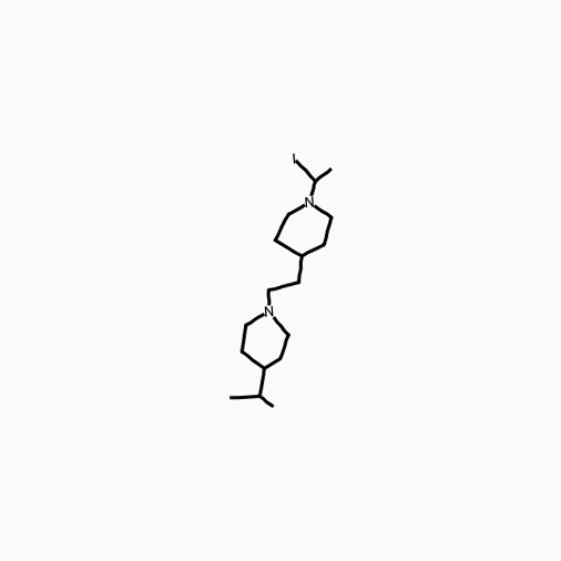 CC(C)C1CCN(CCC2CCN(C(C)I)CC2)CC1